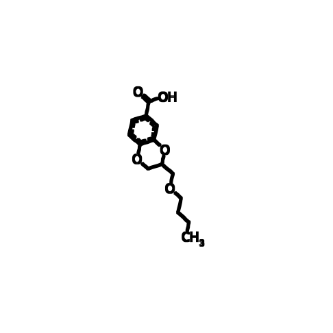 CCCCOCC1COc2ccc(C(=O)O)cc2O1